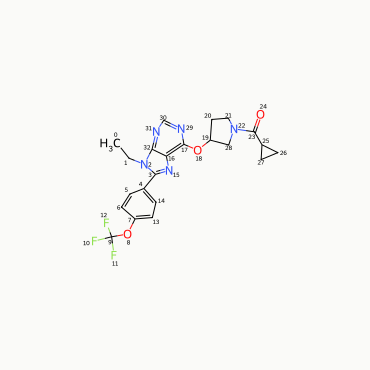 CCn1c(-c2ccc(OC(F)(F)F)cc2)nc2c(OC3CCN(C(=O)C4CC4)C3)ncnc21